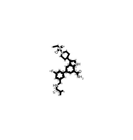 CCS(=O)(=O)N1CCC(c2c[nH]c3c(C(N)=O)cc(-c4cc(F)cc(CN[C@@H](C)C(C)C)c4)cc23)CC1